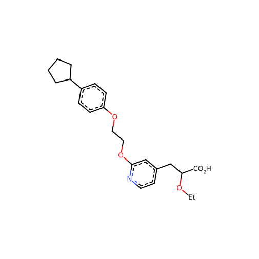 CCOC(Cc1ccnc(OCCOc2ccc(C3CCCC3)cc2)c1)C(=O)O